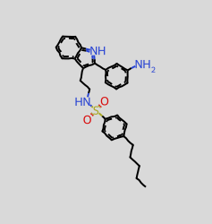 CCCCCc1ccc(S(=O)(=O)NCCc2c(-c3cccc(N)c3)[nH]c3ccccc23)cc1